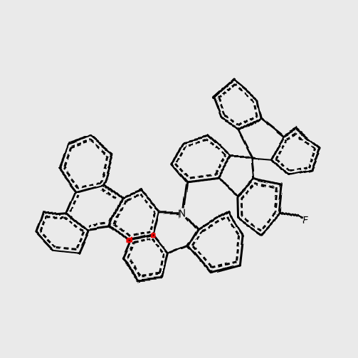 Fc1ccc2c(c1)C1(c3ccccc3-c3ccccc31)c1cccc(N(c3ccc4c5ccccc5c5ccccc5c4c3)c3ccccc3-c3ccccc3)c1-2